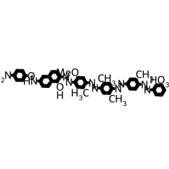 COc1cc(N=Nc2cc(C)c(N=Nc3ccc(N=Nc4ccccc4S(=O)(=O)O)c(C)c3)cc2C)c(C)cc1N=Nc1ccc2cc(NOc3ccc(N)cc3)ccc2c1O